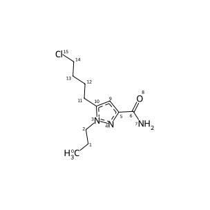 CCCn1nc(C(N)=O)cc1CCCCCl